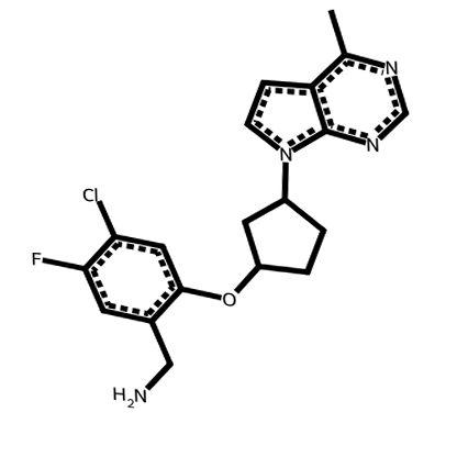 Cc1ncnc2c1ccn2C1CCC(Oc2cc(Cl)c(F)cc2CN)C1